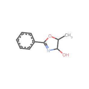 CC1OC(c2ccccc2)=NC1O